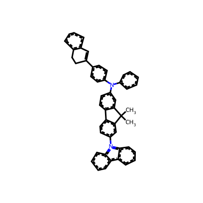 CC1(C)c2cc(N(c3ccccc3)c3ccc(C4=Cc5ccccc5CC4)cc3)ccc2-c2ccc(-n3c4ccccc4c4ccccc43)cc21